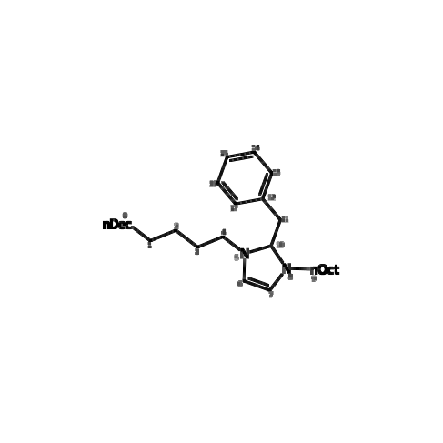 CCCCCCCCCCCCCCN1C=CN(CCCCCCCC)C1Cc1ccccc1